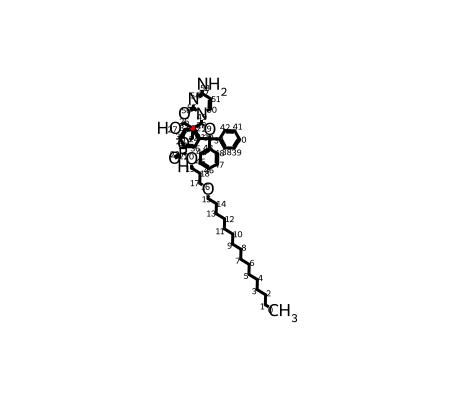 CCCCCCCCCCCCCCCCOCCCO[PH](=O)OCC(CO)[C@H](OC(c1ccccc1)(c1ccccc1)c1ccccc1)n1ccc(N)nc1=O